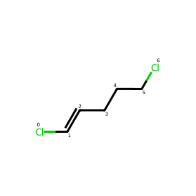 ClC=CCCCCl